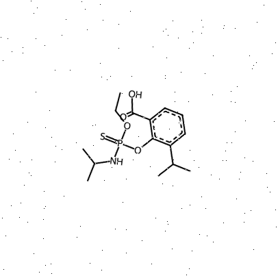 CCOP(=S)(NC(C)C)Oc1c(C(=O)O)cccc1C(C)C